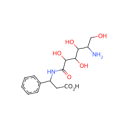 NC(CO)C(O)C(O)C(O)C(=O)NC(CC(=O)O)c1ccccc1